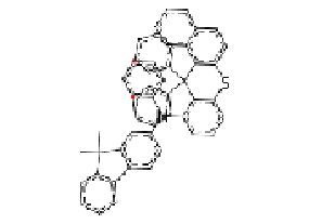 CC1(C)c2ccccc2-c2ccc(N(c3ccccc3)c3cccc4c3C(c3ccccc3)(c3ccccc3)c3c(ccc5ccccc35)S4)cc21